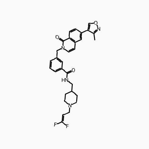 Cc1nocc1-c1ccc2c(=O)n(Cc3cccc(C(=O)NCC4CCN(CC=C(F)F)CC4)c3)ccc2c1